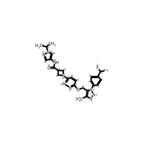 Cc1nnn(-c2ccc(C(F)F)cc2)c1COc1ccc(N2CC(C(=O)Nc3cnn(C(C)C)c3)C2)nn1